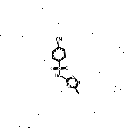 Cc1nsc(NS(=O)(=O)c2ccc(C#N)cc2)n1